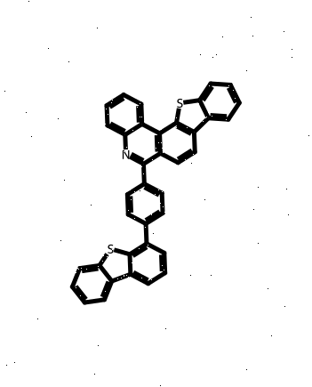 c1ccc2c(c1)nc(-c1ccc(-c3cccc4c3sc3ccccc34)cc1)c1ccc3c4ccccc4sc3c12